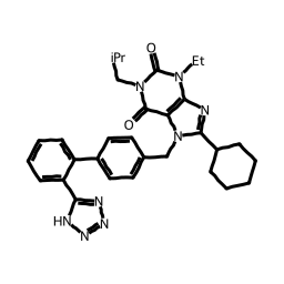 CCn1c(=O)n(CC(C)C)c(=O)c2c1nc(C1CCCCC1)n2Cc1ccc(-c2ccccc2-c2nnn[nH]2)cc1